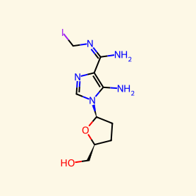 N/C(=N/CI)c1ncn([C@H]2CC[C@@H](CO)O2)c1N